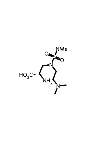 CNS(=O)(=O)N(CCN(C)C)C[C@H](N)C(=O)O